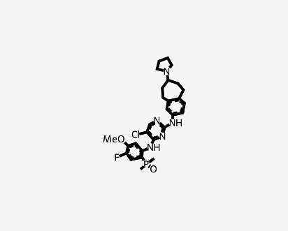 COc1cc(Nc2nc(Nc3ccc4c(c3)CCC(N3CCCC3)CC4)ncc2Cl)c(P(C)(C)=O)cc1F